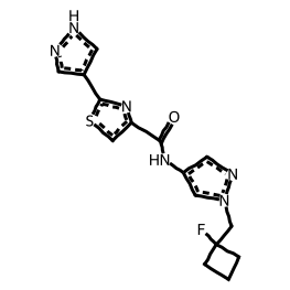 O=C(Nc1cnn(CC2(F)CCC2)c1)c1csc(-c2cn[nH]c2)n1